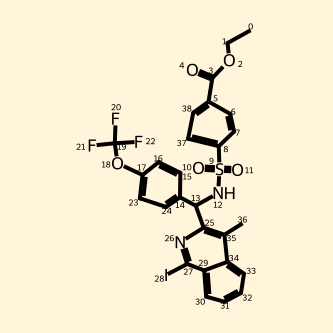 CCOC(=O)c1ccc(S(=O)(=O)NC(c2ccc(OC(F)(F)F)cc2)c2nc(I)c3ccccc3c2C)cc1